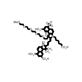 CC[N+]1=C(/C=C/C=C2/N(CCCCCC(=O)O)c3ccc4c(S(=O)(=O)[O-])cc(S(=O)(=O)O)cc4c3C2(C)CCOCCOCCOCCOCCOC)C(C)(C)c2c1ccc1c(S(=O)(=O)O)cc(S(=O)(=O)O)cc21